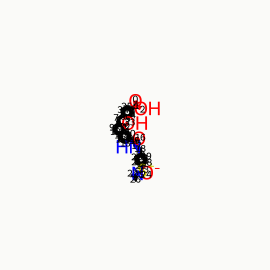 O=C(O)c1ccc(Cc2ccc3ccc(C(=O)NCc4ccc([S+]([O-])N5CC5)cc4)cc3c2O)cc1